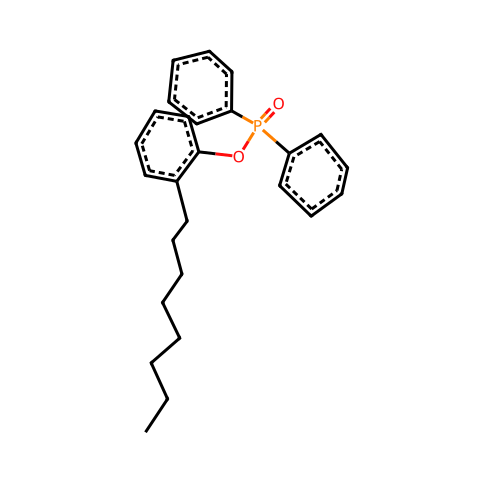 CCCCCCCCc1ccccc1OP(=O)(c1ccccc1)c1ccccc1